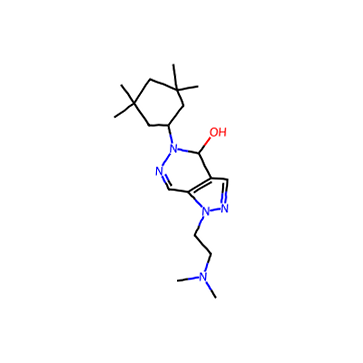 CN(C)CCn1ncc2c1C=NN(C1CC(C)(C)CC(C)(C)C1)C2O